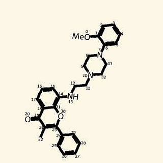 COc1ccccc1N1CCN(CCNc2cccc3c(=O)c(C)c(-c4ccccc4)oc23)CC1